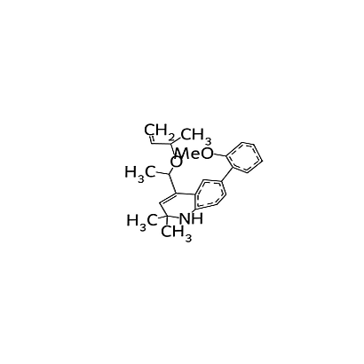 C=CC(C)OC(C)C1=CC(C)(C)Nc2ccc(-c3ccccc3OC)cc21